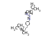 C=C(C)C1CN(C(=C)CCCC2C=CC=C(/C=N/C=C(\C=N/C)C3=CCC(C(C)C)CC3)C=C2)C1